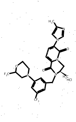 Cc1cn(-c2ccc3n(c2=O)C[C@@H](C)N(Cc2cc(N4CCOC(C(F)(F)F)C4)cc(C(F)(F)F)c2)C3=O)cn1.Cl